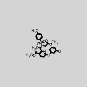 COC(=O)CN(C(C)c1nc(Oc2cccc(Cl)c2)ccc1C(=O)OC)S(=O)(=O)c1ccc(C)cc1